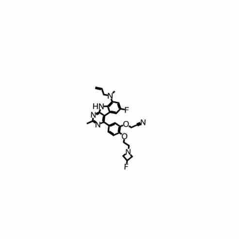 C=CCN(C)c1cc(F)cc2c1[nH]c1nc(C)nc(-c3ccc(OCCN4CC(F)C4)c(OCC#N)c3)c12